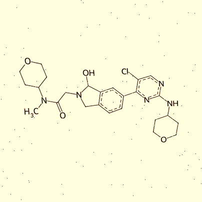 CN(C(=O)CN1Cc2ccc(-c3nc(NC4CCOCC4)ncc3Cl)cc2C1O)C1CCOCC1